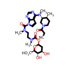 C[C@@H]1CCN(C(=O)CC#N)C[C@@H]1N(C)c1ncnc2c1ccn2C(=O)N(C)CCN(C)C(=O)O[C@H]1C[C@@H](O)[C@H](O)[C@@H](C(=O)O)O1